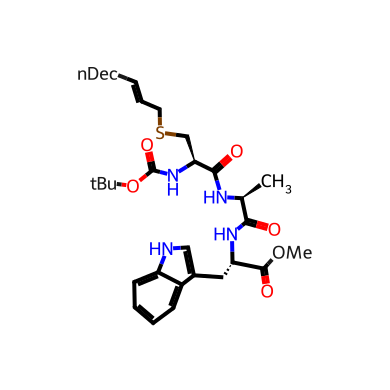 CCCCCCCCCC/C=C/CSC[C@H](NC(=O)OC(C)(C)C)C(=O)N[C@@H](C)C(=O)N[C@@H](Cc1c[nH]c2ccccc12)C(=O)OC